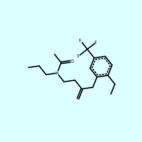 C=C(CCN(CCC)C(C)=O)Cc1cc(C(F)(F)F)ccc1CC